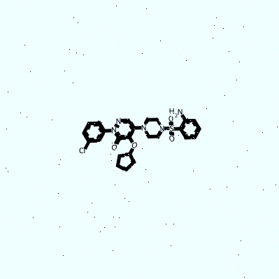 Nc1ccccc1S(=O)(=O)N1CCN(c2cnn(-c3cccc(Cl)c3)c(=O)c2OC2CCCC2)CC1